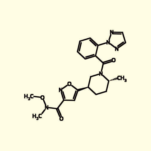 CON(C)C(=O)c1cc([C@@H]2CC[C@@H](C)N(C(=O)c3ccccc3-n3nccn3)C2)on1